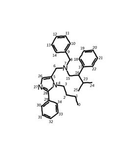 CCCCn1c(CN(Cc2ccccc2)CC(c2ccccc2)C(C)C)cnc1-c1ccccc1